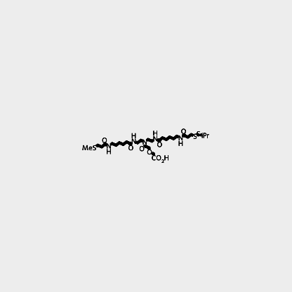 CSCCC(=O)NCCCCCC(=O)NCCN(CCNC(=O)CCCCCNC(=O)CCSSC(C)C)C(=O)COCC(=O)O